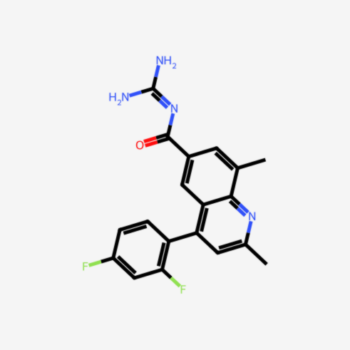 Cc1cc(-c2ccc(F)cc2F)c2cc(C(=O)N=C(N)N)cc(C)c2n1